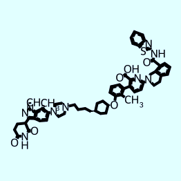 Cc1c(O[C@H]2CC[C@H](CCCCN3CCN(c4ccc5c(C6CCC(=O)NC6=O)nn(C)c5c4C)CC3)CC2)cccc1-c1ccc(N2CCc3cccc(C(=O)Nc4nc5ccccc5s4)c3C2)nc1C(=O)O